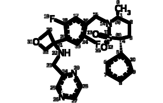 C[C@H]1CC[C@H](c2ccccc2)S(=O)(=O)N1Cc1cc(F)c(C2(NCc3cnccn3)COC2)cc1F